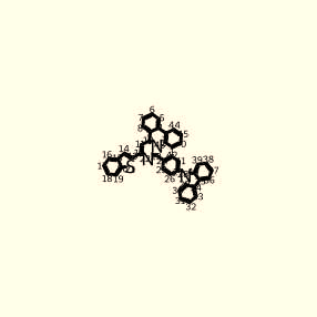 c1ccc(-c2ccccc2-c2cc(-c3cc4ccccc4s3)nc(-c3ccc(-n4c5ccccc5c5ccccc54)cc3)n2)cc1